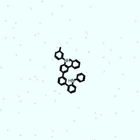 CC1C=C(Nc2ccc(-c3cccc(-c4ccccc4Nc4ccccc4)c3)cc2C2C=CC=CC2C)C=CC1